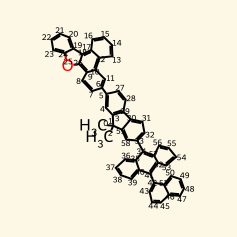 CC1(C)c2cc(-c3ccc4c(c3)c3ccccc3c3c5ccccc5oc43)ccc2-c2ccc(-c3c4ccccc4c(-c4cccc5ccccc45)c4ccccc34)cc21